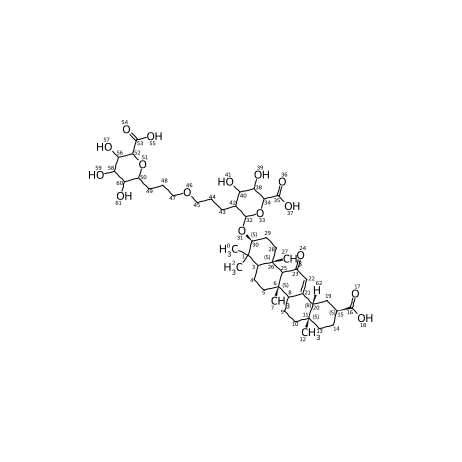 CC1(C)C2CC[C@@]3(C)C4CC[C@@]5(C)CC[C@H](C(=O)O)C[C@H]5C4=CC(=O)C3[C@@]2(C)CC[C@@H]1OC1OC(C(=O)O)C(O)C(O)C1CCCOCCCC1OC(C(=O)O)C(O)C(O)C1O